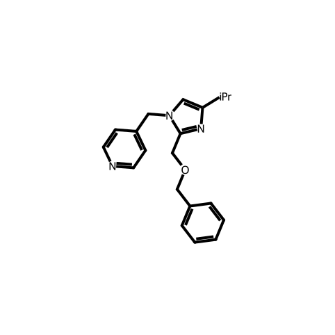 CC(C)c1cn(Cc2ccncc2)c(COCc2ccccc2)n1